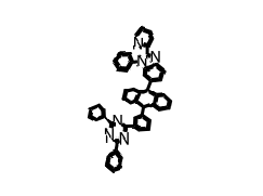 c1ccc(-c2nc(-c3ccccc3)nc(-c3cccc(-c4c5ccccc5c(-c5ccc6nc(-c7ccccn7)n(-c7ccccc7)c6c5)c5ccccc45)c3)n2)cc1